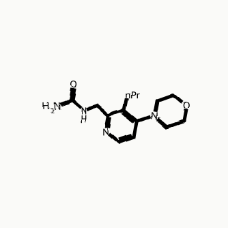 CCCc1c(N2CCOCC2)ccnc1CNC(N)=O